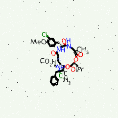 COc1ccc(C[C@H]2NC(=O)/C=C/C[C@@H]([C@H](C)C(Cl)(Cc3ccccc3)NCC(=O)O)OC(=O)[C@H](CC(C)C)OC(=O)[C@H](C)CNC2=O)cc1Cl